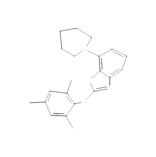 Cc1cc(C)c(Nc2nc3cccc(N4CCCCC4)c3s2)c(C)c1